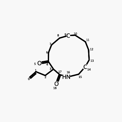 C=CCC1C(=O)CCCCCCCCCCNC1=O